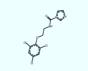 O=C(NCCOc1c(Cl)cc(Cl)cc1Cl)n1ccnc1